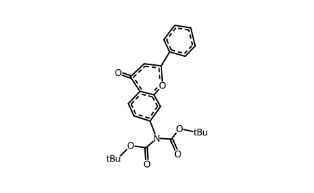 CC(C)(C)OC(=O)N(C(=O)OC(C)(C)C)c1ccc2c(=O)cc(-c3ccccc3)oc2c1